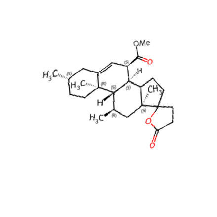 COC(=O)[C@@H]1C=C2C[C@@H](C)CC[C@]2(C)[C@@H]2[C@@H]1C1CCC3(CCC(=O)O3)[C@@]1(C)C[C@H]2C